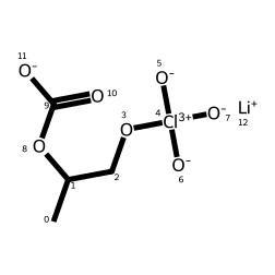 CC(CO[Cl+3]([O-])([O-])[O-])OC(=O)[O-].[Li+]